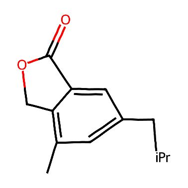 Cc1cc(CC(C)C)cc2c1COC2=O